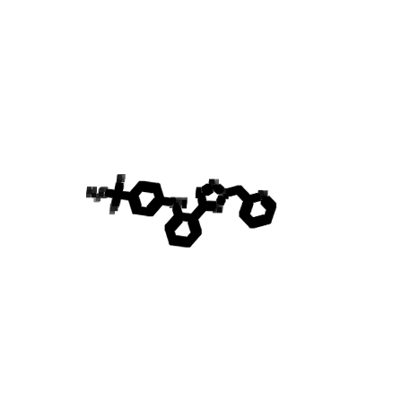 CC(F)(F)c1ccc(Nc2ccccc2-c2nnn(Cc3ccccn3)n2)cc1